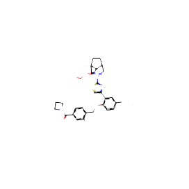 Cc1ccc(OCc2ccc(C(=O)N3CCC3)cc2C)c(-c2csc(N3C[C@H]4CC[C@@H](C3)[C@H]4COCO)n2)c1